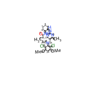 C=CC(=O)N[C@H]1CCCC[C@H]1Nc1ncc(CN(C(C)=O)c2c(Cl)c(OC)cc(OC)c2Cl)c(C)n1